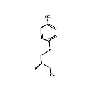 C[C@@H](COc1ccc([N+](=O)[O-])cc1)CC(C)(C)C